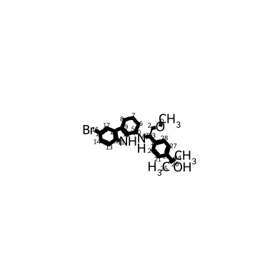 COC[C@H](N[C@@H]1CCCc2c1[nH]c1ccc(Br)cc21)c1ccc(C(C)(C)O)cc1